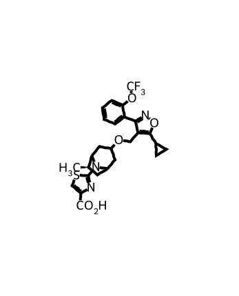 C[C@@H]1CC2CC(OCc3c(-c4ccccc4OC(F)(F)F)noc3C3CC3)CC1N2c1nc(C(=O)O)cs1